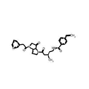 C=Cc1ccc(C(=O)NCCC(C)CC(=O)N2CCC3C2C(=O)CN3C(=O)Cc2cccnc2)cc1